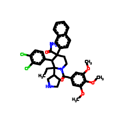 CCC1(C2CCNC2)C(c2ccc(Cl)c(Cl)c2)C(C(N)=O)(c2ccc3ccccc3c2)CCN1C(=O)c1cc(OC)c(OC)c(OC)c1